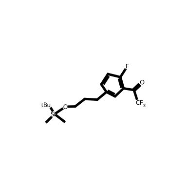 CC(C)(C)[Si](C)(C)OCCCc1ccc(F)c(C(=O)C(F)(F)F)c1